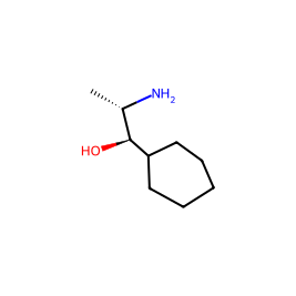 C[C@H](N)[C@H](O)C1CCCCC1